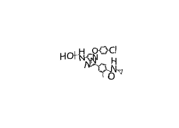 Cc1cc(-c2cnc3c(NCC(C)(C)O)cc(Oc4ccc(Cl)cc4)nn23)ccc1C(=O)NC1CC1